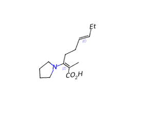 CC/C=C/CC/C(=C(\C)C(=O)O)N1CCCC1